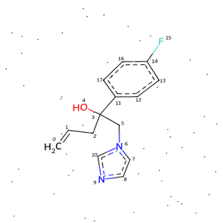 C=CCC(O)(Cn1ccnc1)c1ccc(F)cc1